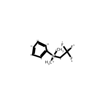 C[N+](C)(CC(F)(F)F)c1ccccc1